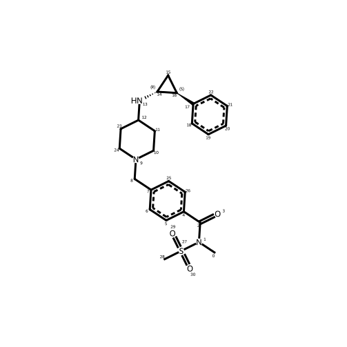 CN(C(=O)c1ccc(CN2CCC(N[C@@H]3C[C@H]3c3ccccc3)CC2)cc1)S(C)(=O)=O